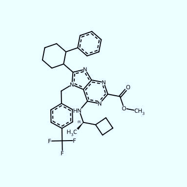 COC(=O)c1nc(N[C@H](C)C2CCC2)c2c(n1)nc(C1CCCCC1c1ccccc1)n2Cc1ccc(C(F)(F)F)cc1